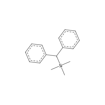 C[Si](C)(C)[C](c1ccccc1)c1ccccc1